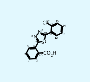 O=C(O)c1ccccc1-c1nnc(-c2ccccc2Cl)o1